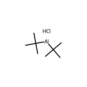 C[C](C)(C)[Al][C](C)(C)C.Cl